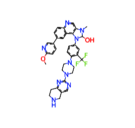 COc1ccc(-c2ccc3ncc4c(c3c2)N(c2ccc(N3CCN(c5ncc6c(n5)CCNC6)CC3)c(C(F)(F)F)c2)C(O)N4C)cn1